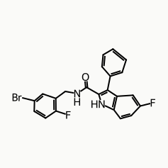 O=C(NCc1cc(Br)ccc1F)c1[nH]c2ccc(F)cc2c1-c1ccccc1